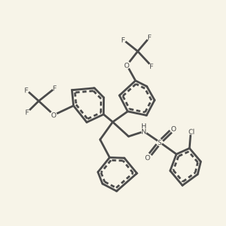 O=S(=O)(NCC(Cc1ccccc1)(c1cccc(OC(F)(F)F)c1)c1cccc(OC(F)(F)F)c1)c1ccccc1Cl